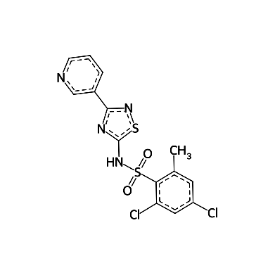 Cc1cc(Cl)cc(Cl)c1S(=O)(=O)Nc1nc(-c2cccnc2)ns1